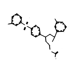 CC(C)(C)[C@](O)(CC(CCOC(N)=O)c1ccc(S(=O)(=O)c2cccc(O)c2)cc1)c1cccc(Cl)c1